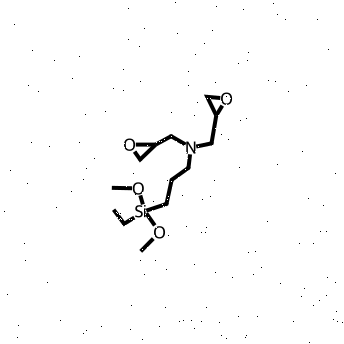 CC[Si](CCCN(CC1CO1)CC1CO1)(OC)OC